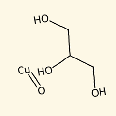 OCC(O)CO.[O]=[Cu]